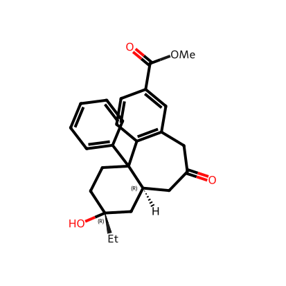 CC[C@@]1(O)CCC2(c3ccccc3)c3ccc(C(=O)OC)cc3CC(=O)C[C@H]2C1